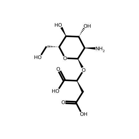 N[C@H]1[C@@H](O[C@@H](CC(=O)O)C(=O)O)O[C@H](CO)[C@@H](O)[C@@H]1O